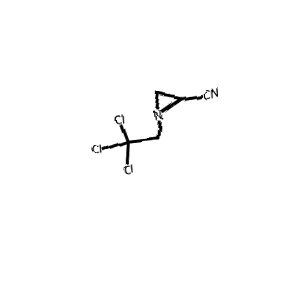 N#CC1CN1CC(Cl)(Cl)Cl